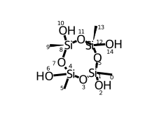 C[Si]1(O)O[Si](C)(O)O[Si@](C)(O)O[Si@](C)(O)O1